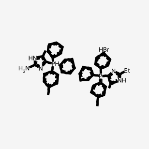 Br.CCc1nc([PH](c2ccccc2)(c2ccccc2)c2ccc(C)cc2)c(C)[nH]1.Cc1ccc([PH](c2ccccc2)(c2ccccc2)c2nc(N)[nH]c2C)cc1